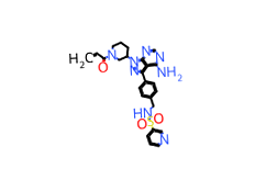 C=CC(=O)N1CCCC(n2nc(-c3ccc(CNS(=O)(=O)c4cccnc4)cc3)c3c(N)ncnc32)C1